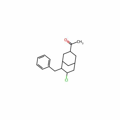 CC(=O)C1CC2CC(Cl)C(Cc3ccccc3)C(C2)C1